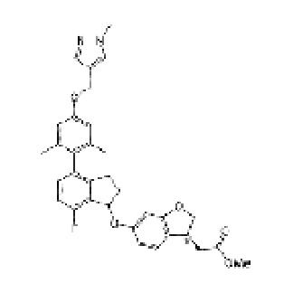 COC(=O)C[C@@H]1COc2cc(OC3CCc4c(-c5c(C)cc(OCc6cnn(C)c6)cc5C)ccc(F)c43)ccc21